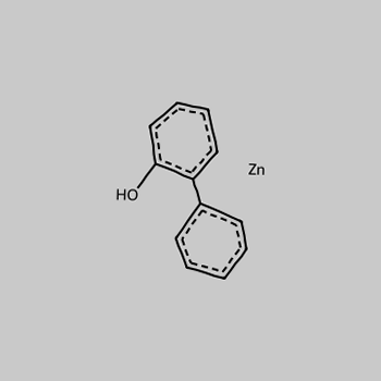 Oc1ccccc1-c1ccccc1.[Zn]